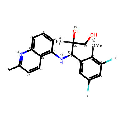 COc1c(F)cc(F)cc1[C@@H](Nc1cccc2nc(C)ccc12)C(O)(CO)C(F)(F)F